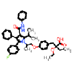 CCOC(CC)(Cc1ccc(OCC(C)n2c(-c3ccc(F)cc3)c(-c3ccccc3)c(C(=O)Nc3ccccc3)c2C(C)C)cc1)C(=O)O